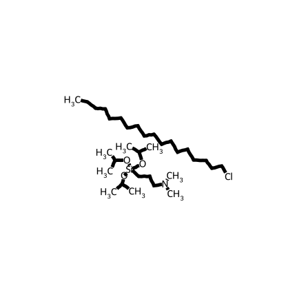 CC(C)O[Si](CCCN(C)C)(OC(C)C)OC(C)C.CCCCCCCCCCCCCCCCCCCl